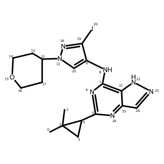 CC1(C)CC1c1nc(Nc2cn(C3CCOCC3)nc2I)c2[nH]ncc2n1